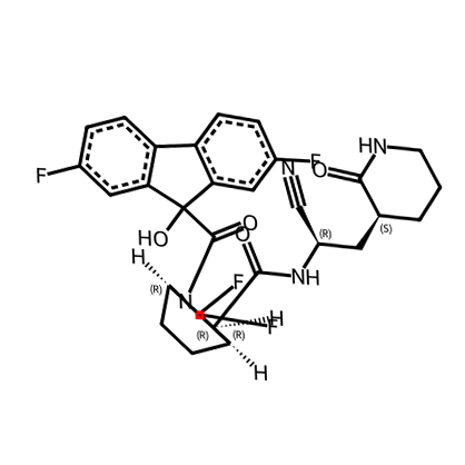 N#C[C@@H](C[C@@H]1CCCNC1=O)NC(=O)[C@H]1[C@H]2CC[C@H](CC2(F)F)N1C(=O)C1(O)c2cc(F)ccc2-c2ccc(F)cc21